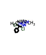 C=Nc1nc2nc(Cl)c(-c3ccccc3)c(Cl)n2n1.CNC